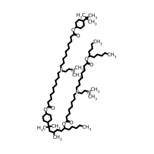 CCCCCC(CCCC)OC(=O)CCCCCCCN(CCCCCCCC(=O)OC(CCCCC)CCC(C)CC(C)(C)C1CCC(OC(=O)CCCCCCCCCN(CCCCCCCCCC(=O)OC2CCC(C(C)(C)C)CC2)CCN(C)C)CC1)CCN(C)C